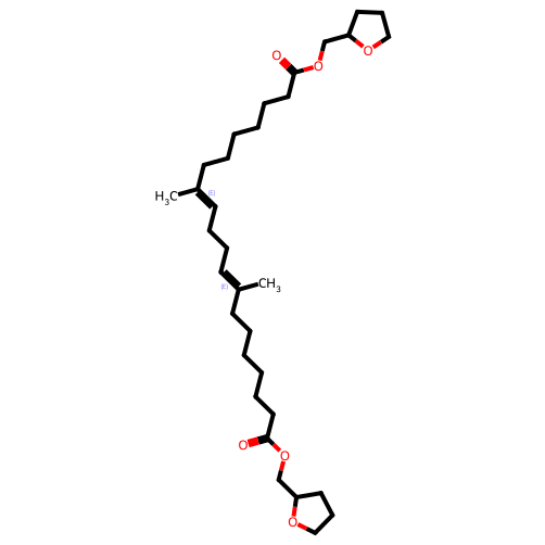 C/C(=C\CC/C=C(\C)CCCCCCC(=O)OCC1CCCO1)CCCCCCC(=O)OCC1CCCO1